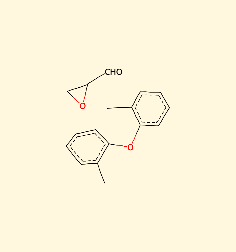 Cc1ccccc1Oc1ccccc1C.O=CC1CO1